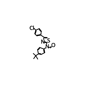 CC(C)(C)c1ccc(N(C=O)c2nc(-c3ccc(Cl)cc3)cs2)cc1